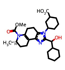 COC(=O)N1C2=C(CC[C@@H]1C)c1nc(C(O)C3CCCCC3)n(C3CCCC(C(=O)O)C3)c1CC2